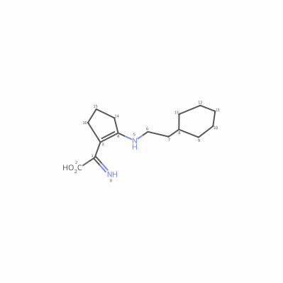 N=C(C(=O)O)C1=C(NCCC2CCCCC2)CCC1